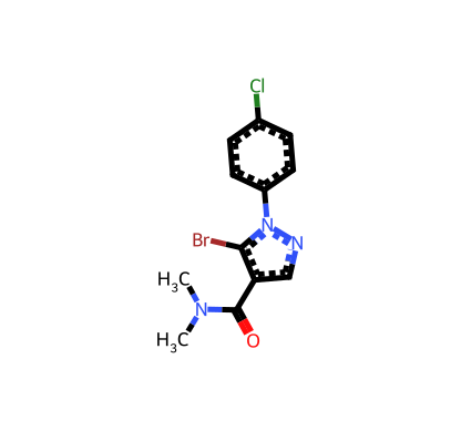 CN(C)C(=O)c1cnn(-c2ccc(Cl)cc2)c1Br